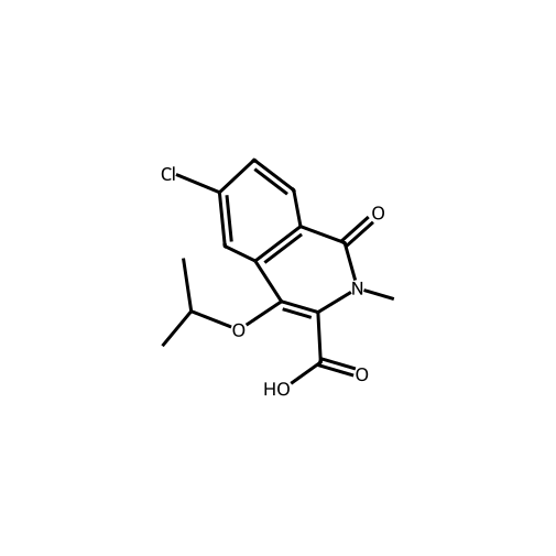 CC(C)Oc1c(C(=O)O)n(C)c(=O)c2ccc(Cl)cc12